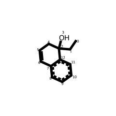 CCC1(O)CC=Cc2ccccc21